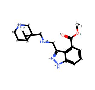 COC(=O)c1cccc2[nH]nc(CNCC3CN4CCC3CC4)c12